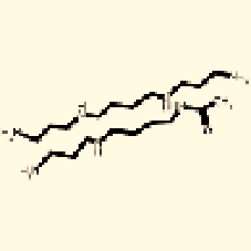 CC(=O)NCCCCNCCCN.NCCCNCCCCNCCCN